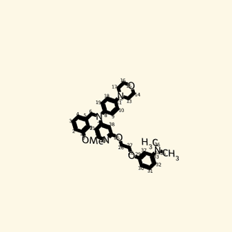 COc1cccc(CN(c2ccc(N3CCOCC3)cc2)c2ccnc(OCCOc3cccc(N(C)C)c3)c2)c1